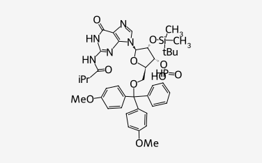 COc1ccc(C(OC[C@H]2O[C@@H](n3cnc4c(=O)[nH]c(NC(=O)C(C)C)nc43)[C@H](O[Si](C)(C)C(C)(C)C)[C@@H]2O[PH](=O)O)(c2ccccc2)c2ccc(OC)cc2)cc1